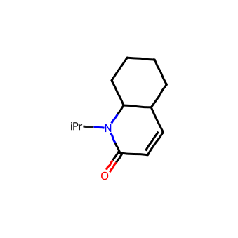 CC(C)N1C(=O)C=CC2CCCCC21